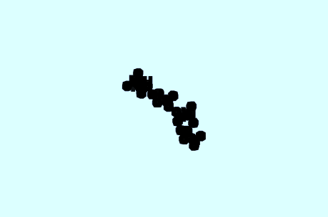 c1ccc(C2=NC(n3c4ccccc4c4c(-c5ccc6c(c5)Oc5cc7c(c8cccc-6c58)c5ccc(-c6ccc8c(c6)c6ccc(-c9ccc%10c(c9)Oc9cc%11c(c%12cccc-%10c9%12)c9ccccc9n%11-c9ccccc9)cc6n8-c6cc(-c8ccccc8)nc(-c8ccccc8)n6)cc5n7-c5ccccc5)cccc43)NC(c3ccccc3)=N2)cc1